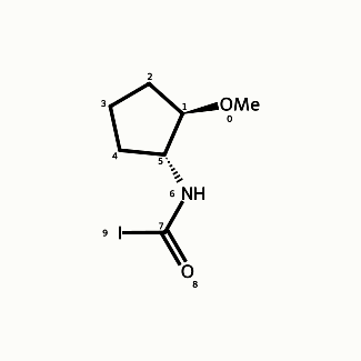 CO[C@@H]1CCC[C@H]1NC(=O)I